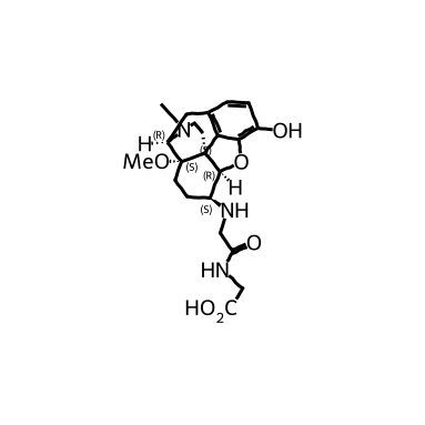 CO[C@@]12CC[C@H](NCC(=O)NCC(=O)O)[C@@H]3Oc4c(O)ccc5c4[C@@]31CCN(C)[C@@H]2C5